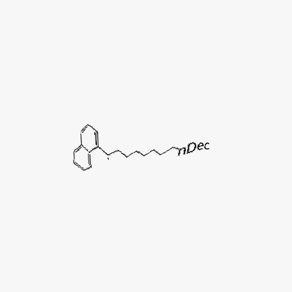 CCCCCCCCCCCCCCCCC[CH]c1cccc2ccccc12